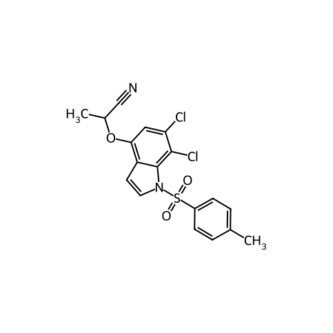 Cc1ccc(S(=O)(=O)n2ccc3c(OC(C)C#N)cc(Cl)c(Cl)c32)cc1